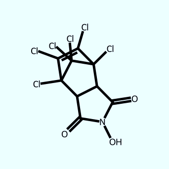 O=C1C2C(C(=O)N1O)C1(Cl)C(Cl)=C(Cl)C2(Cl)C1(Cl)Cl